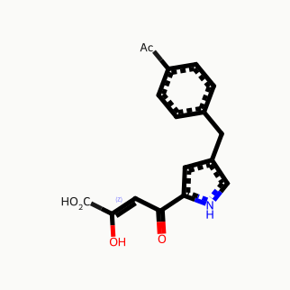 CC(=O)c1ccc(Cc2c[nH]c(C(=O)/C=C(\O)C(=O)O)c2)cc1